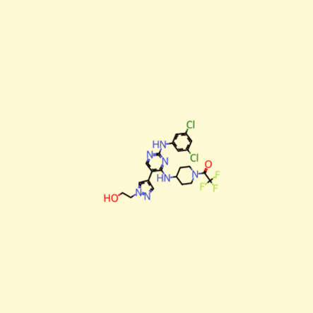 O=C(N1CCC(Nc2nc(Nc3cc(Cl)cc(Cl)c3)ncc2-c2cnn(CCO)c2)CC1)C(F)(F)F